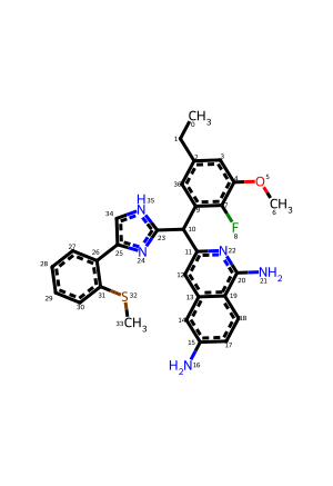 CCc1cc(OC)c(F)c(C(c2cc3cc(N)ccc3c(N)n2)c2nc(-c3ccccc3SC)c[nH]2)c1